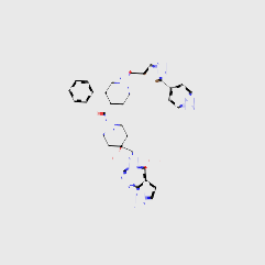 Cn1ccc2c(=O)n(CC3(O)CCN(C(=O)[C@@H]4CCN(C(=O)c5cnc(-c6ccncc6)s5)C[C@H]4c4ccccc4)CC3)cnc21